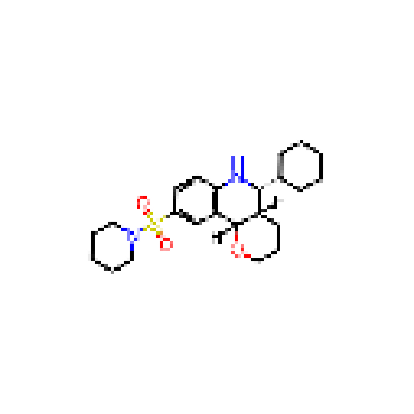 O=S(=O)(c1ccc2c(c1)[C@H]1OCCC[C@H]1[C@@H](C1CCCCC1)N2)N1CCCCC1